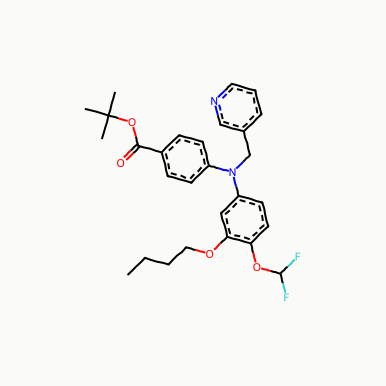 CCCCOc1cc(N(Cc2cccnc2)c2ccc(C(=O)OC(C)(C)C)cc2)ccc1OC(F)F